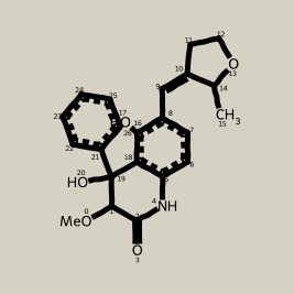 COC1C(=O)Nc2ccc(C=C3CCOC3C)c(O)c2C1(O)c1ccccc1